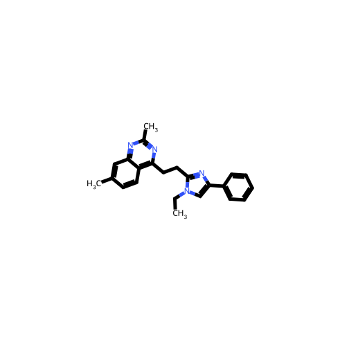 CCn1cc(-c2ccccc2)nc1CCc1nc(C)nc2cc(C)ccc12